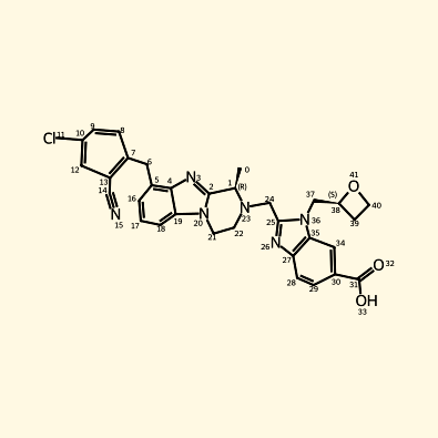 C[C@@H]1c2nc3c(Cc4ccc(Cl)cc4C#N)cccc3n2CCN1Cc1nc2ccc(C(=O)O)cc2n1C[C@@H]1CCO1